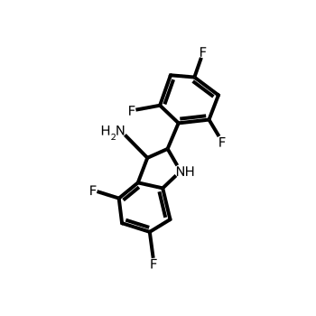 NC1c2c(F)cc(F)cc2NC1c1c(F)cc(F)cc1F